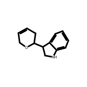 [C]1Nc2ccccc2C1C1CC=CCO1